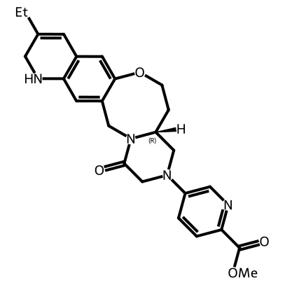 CCC1=Cc2cc3c(cc2NC1)CN1C(=O)CN(c2ccc(C(=O)OC)nc2)C[C@H]1CCO3